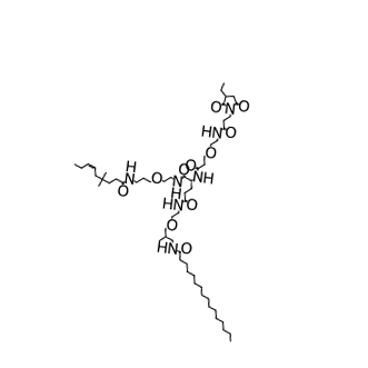 CC/C=C\CC(C)(C)CCC(=O)NCCCOCCNC(=O)[C@H](CCC(=O)NCCOCC(C)CNC(=O)CCCCCCCCCCCCCCC)NC(=O)CCOCCNC(=O)CCN1C(=O)CC(CC)C1=O